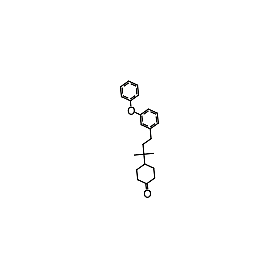 CC(C)(CCc1cccc(Oc2ccccc2)c1)C1CCC(=O)CC1